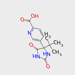 CC(C)(C)C1(c2ccc(C(=O)O)nc2)NC(=O)NC1=O